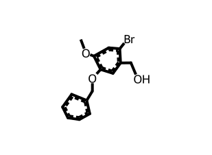 COc1cc(Br)c(CO)cc1OCc1ccccc1